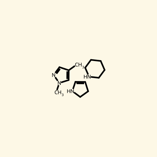 C1=CNCC1.C1CCNCC1.Cc1cnn(C)c1